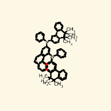 CC1(C)c2ccccc2-c2cc(N(c3ccccc3)c3cc(N(c4ccccc4)c4ccc5c(c4)-c4ccccc4C(C)(C)C5(C)C)c4c(ccc5ccccc54)c3)ccc2C1(C)C